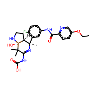 CCOc1ccc(C(=O)Nc2ccc(F)c([C@@]3(C)N=C(NC(=O)O)C(C)(C)[S@@]4(O)NCC[C@@H]34)c2)nc1